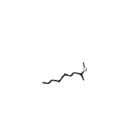 [CH2]OC(C)CCCCCCC